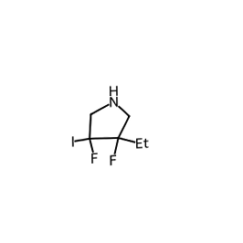 CCC1(F)CNCC1(F)I